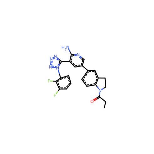 CCC(=O)N1CCc2cc(-c3cnc(N)c(-c4nnnn4-c4cccc(F)c4F)c3)ccc21